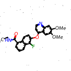 COc1cc2nccc(Oc3ccc4c(C(=O)NCC(F)(F)F)cccc4c3F)c2cc1OC